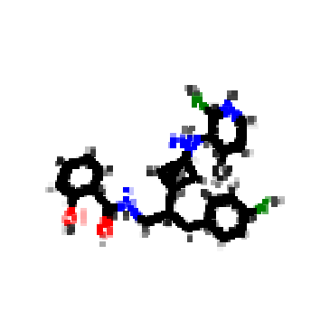 O=C(NCC(Cc1ccc(F)cc1)C12CC(Nc3c(C(F)(F)F)ccnc3F)(C1)C2)c1ccccc1O